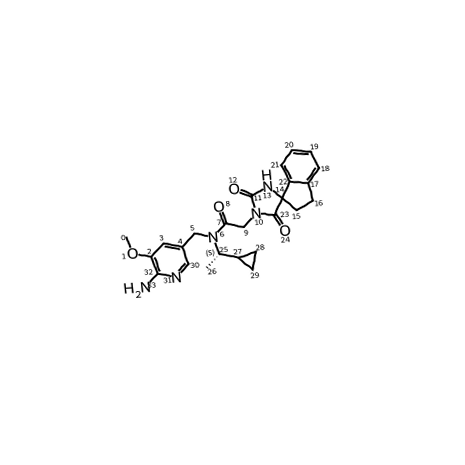 COc1cc(CN(C(=O)CN2C(=O)NC3(CCc4ccccc43)C2=O)[C@@H](C)C2CC2)cnc1N